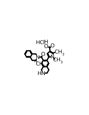 Cc1c(C(=O)O)cc(-c2cc3c(cc2C(=O)N2Cc4ccccc4C[C@H]2C)CNCC3)n1C.Cl